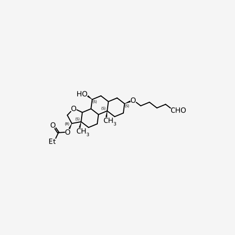 CCC(=O)O[C@H]1COC2C3C(CC[C@@]21C)[C@@]1(C)CC[C@H](OCCCCC=O)CC1C[C@@H]3O